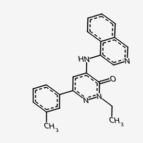 CCn1nc(-c2cccc(C)c2)cc(Nc2cncc3ccccc23)c1=O